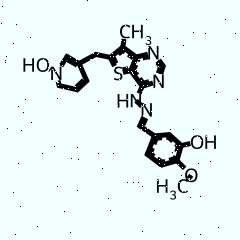 COc1ccc(C=NNc2ncnc3c(C)c(CC4=CN(O)CC=C4)sc23)cc1O